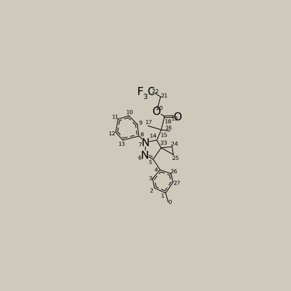 Cc1ccc(C2=NN(c3ccccc3)C(C(C)(C)C(=O)OCC(F)(F)F)C23CC3)cc1